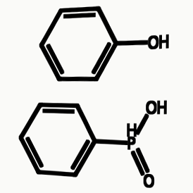 O=[PH](O)c1ccccc1.Oc1ccccc1